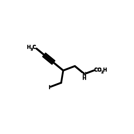 CC#CC(CI)CNC(=O)O